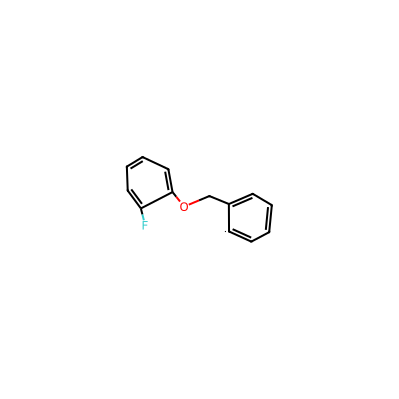 Fc1ccccc1OCc1[c]cccc1